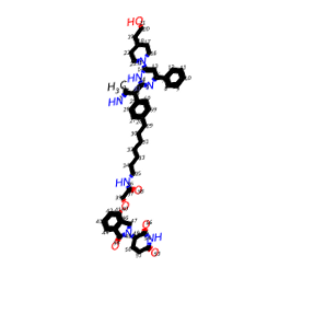 CC(=N)/C(=C1/N=C(c2ccccc2)C=C(N2CCC(CCO)CC2)N1)c1ccc(CCCCCCCNC(=O)COc2cccc3c2CN(C2CCC(=O)NC2=O)C3=O)cc1